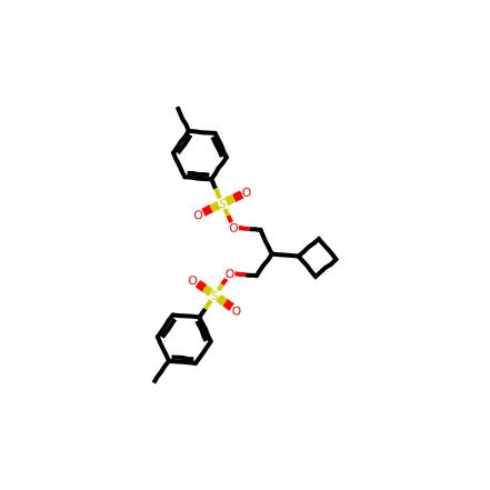 Cc1ccc(S(=O)(=O)OCC(COS(=O)(=O)c2ccc(C)cc2)C2CCC2)cc1